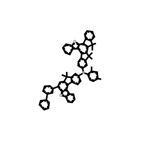 Cc1ccc(N(c2ccc3c(c2)C(C)(C)c2cc(-c4cccc(-c5ccccc5)c4)c4oc5ccccc5c4c2-3)c2ccc3c(c2)C(C)(C)c2c4c(c5oc6ccccc6c5c2-3)-c2ccccc2C4(C)C)c(C)c1